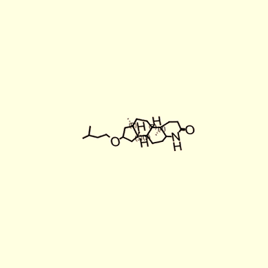 CC(C)CCOC1C[C@H]2[C@@H]3CCC4NC(=O)CC[C@]4(C)[C@@H]3CC[C@]2(C)C1